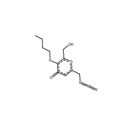 CCCCOc1c(CO)oc(CN=[N+]=[N-])cc1=O